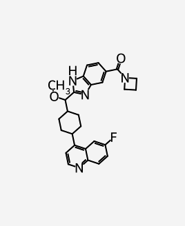 COC(c1nc2cc(C(=O)N3CCC3)ccc2[nH]1)C1CCC(c2ccnc3ccc(F)cc23)CC1